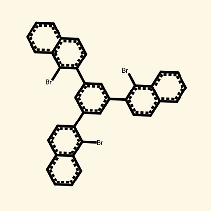 Brc1c(-c2cc(-c3ccc4ccccc4c3Br)cc(-c3ccc4ccccc4c3Br)c2)ccc2ccccc12